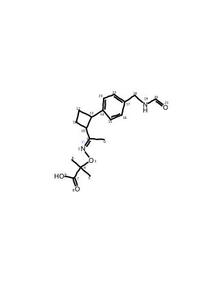 C/C(=N\OC(C)(C)C(=O)O)C1CCC1c1ccc(CNC=O)cc1